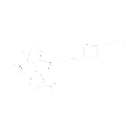 COC(=O)C1=C(C)NC(C)=C(C(=O)OCCOc2ccc(OCCN)cc2)C1c1cccc([N+](=O)[O-])c1